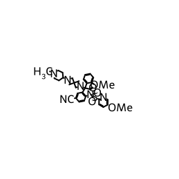 COc1ccc(S(=O)(=O)N2C(=O)C(c3ccccc3OC)(N3CC4(CN(C5CCN(C)CC5)C4)C3)c3cc(C#N)ccc32)nc1